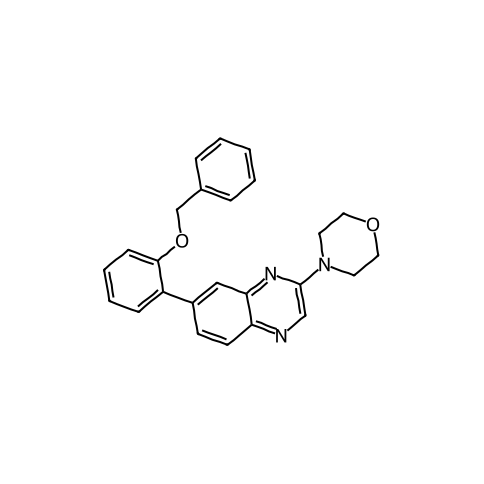 c1ccc(COc2ccccc2-c2ccc3ncc(N4CCOCC4)nc3c2)cc1